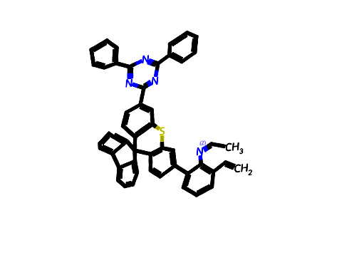 C=Cc1cccc(-c2ccc3c(c2)Sc2cc(-c4nc(-c5ccccc5)nc(-c5ccccc5)n4)ccc2C32c3ccccc3-c3ccccc32)c1/N=C\C